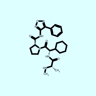 CN[C@@H](C)C(=O)N[C@H](C(=O)N1CCC[C@H]1C(=O)Nc1nonc1-c1ccccc1)C1CCCCC1